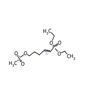 CCOP(=O)(/C=C/CCCOS(C)(=O)=O)OCC